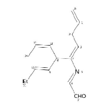 C=CC/C=C(/N=C/C=O)C(C=CCC)/C=C\C